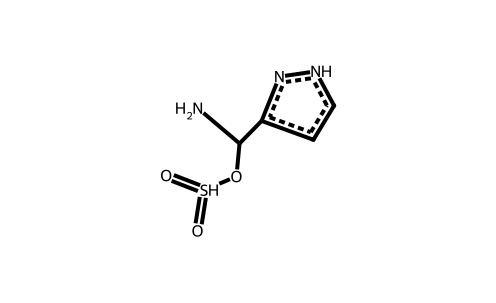 NC(O[SH](=O)=O)c1cc[nH]n1